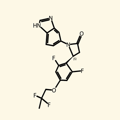 CC(F)(F)COc1cc(F)c([C@@H]2CC(=O)N2c2ccc3[nH]cnc3c2)c(F)c1